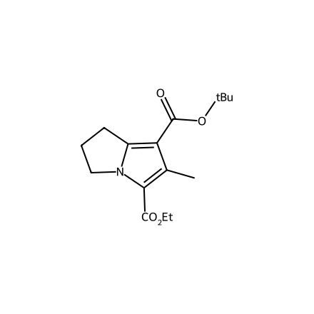 CCOC(=O)c1c(C)c(C(=O)OC(C)(C)C)c2n1CCC2